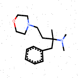 CN(C)C(C)(CCN1CCOCC1)Cc1ccccc1